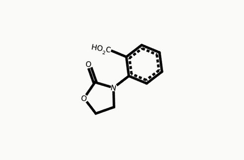 O=C(O)c1ccccc1N1CCOC1=O